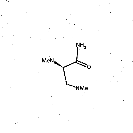 CNC[C@@H](NC)C(N)=O